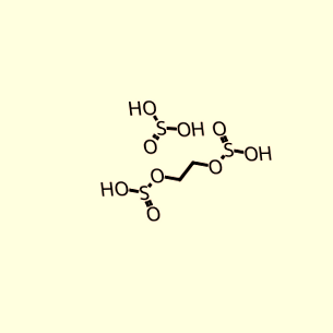 O=S(O)O.O=S(O)OCCOS(=O)O